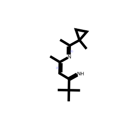 CC(=C/C(=N)C(C)(C)C)/N=C(\C)C1(C)CC1